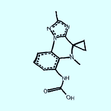 Cc1nc2n(n1)-c1cccc(NC(=O)O)c1N(C)C21CC1